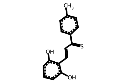 Cc1ccc(C(=S)C=Cc2c(O)cccc2O)cc1